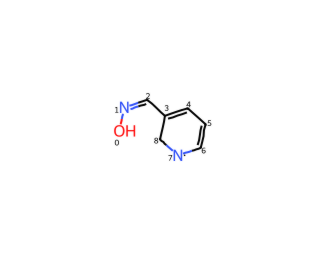 O/N=C\C1=CC=C[N]C1